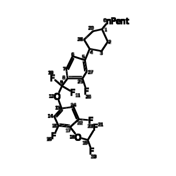 CCCCCC1CCC(c2ccc(C(F)(F)Oc3cc(F)c(OC(F)F)c(F)c3)c(F)c2)CC1